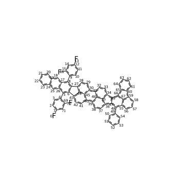 Fc1ccc(-c2c3c(c(-c4ccc(F)cc4F)c4cc5ccccc5cc24)-c2ccc4c5ccc6c7c(ccc(c8ccc-3c2c84)c57)c2c(-c3ccccc3)c3cccc4c5ccccc5c(c34)c62)c(F)c1